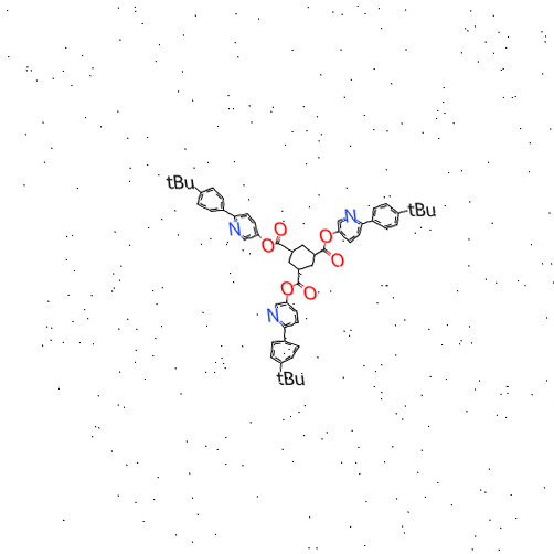 CC(C)(C)c1ccc(-c2ccc(OC(=O)C3CC(C(=O)Oc4ccc(-c5ccc(C(C)(C)C)cc5)nc4)CC(C(=O)Oc4ccc(-c5ccc(C(C)(C)C)cc5)nc4)C3)cn2)cc1